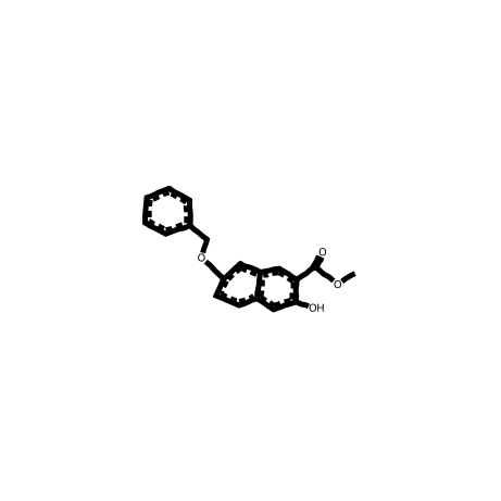 COC(=O)c1cc2cc(OCc3ccccc3)ccc2cc1O